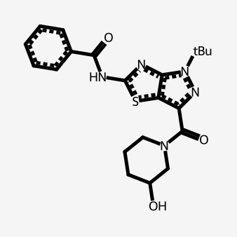 CC(C)(C)n1nc(C(=O)N2CCCC(O)C2)c2sc(NC(=O)c3ccccc3)nc21